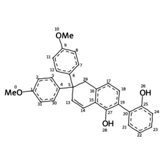 COc1ccc(C2(c3ccc(OC)cc3)C=Cc3c(ccc(-c4ccccc4O)c3O)C2)cc1